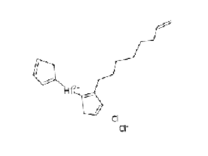 C=CCCCCCCC1=[C]([Hf+2][C]2=CC=CC2)CC=C1.[Cl-].[Cl-]